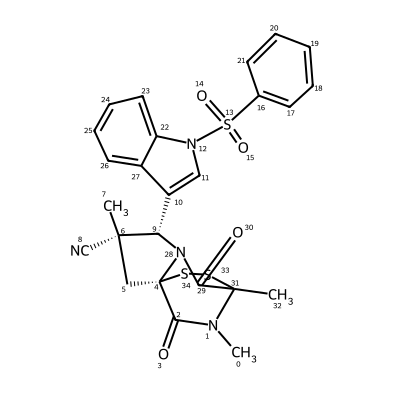 CN1C(=O)[C@@]23C[C@](C)(C#N)[C@H](c4cn(S(=O)(=O)c5ccccc5)c5ccccc45)N2C(=O)C1(C)SS3